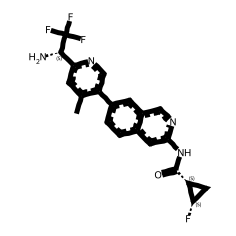 Cc1cc([C@H](N)C(F)(F)F)ncc1-c1ccc2cc(NC(=O)[C@@H]3C[C@@H]3F)ncc2c1